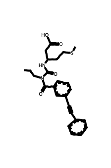 CCCN(C(=O)NC(CCSC)CC(=O)O)C(=O)c1cccc(C#Cc2ccccc2)c1